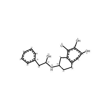 Oc1cc2c(c(Cl)c1O)CC(NC(O)Cc1ccccc1)CC2